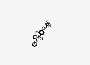 O=C(c1ccc(OCc2cscn2)cc1F)N1CCCC1CN1CCCC1